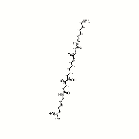 CC(=O)N(O)CCCCCNC(=O)CCC(=O)N(O)CCCCCNC(=O)CCC(=O)NOCCCCCN